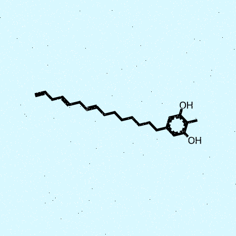 C=CCC=CCC=CCCCCCCCc1cc(O)c(C)c(O)c1